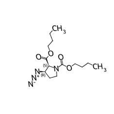 CCCCOC(=O)[C@@H]1[C@H](N=[N+]=[N-])CCN1C(=O)OCCCC